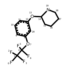 FC(F)(F)C(F)(F)Oc1cccc(OC2CCCC[N]2)c1